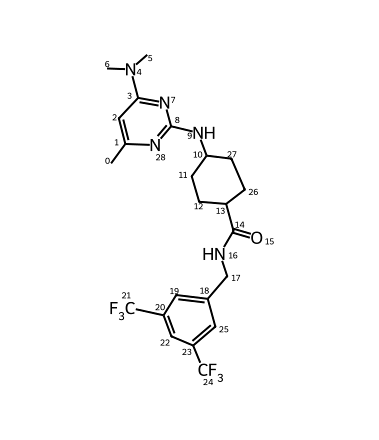 Cc1cc(N(C)C)nc(NC2CCC(C(=O)NCc3cc(C(F)(F)F)cc(C(F)(F)F)c3)CC2)n1